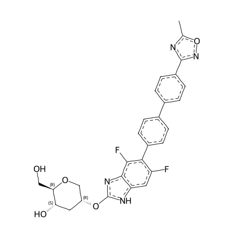 Cc1nc(-c2ccc(-c3ccc(-c4c(F)cc5[nH]c(O[C@H]6CO[C@H](CO)[C@@H](O)C6)nc5c4F)cc3)cc2)no1